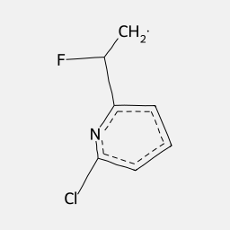 [CH2]C(F)c1cccc(Cl)n1